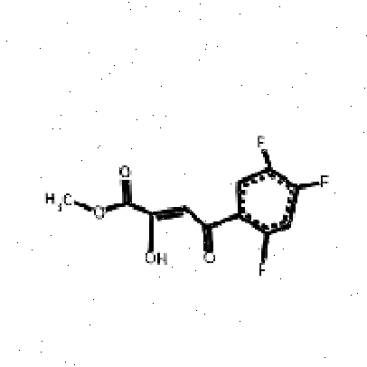 COC(=O)C(O)=CC(=O)c1cc(F)c(F)cc1F